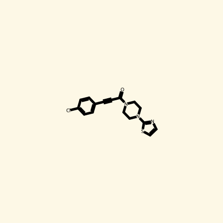 O=C(C#Cc1ccc(Cl)cc1)N1CCN(c2nccs2)CC1